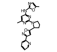 Cc1cc(Nc2ncc(C)o2)nc(N2CCCC2c2cc(-c3ccccn3)no2)n1